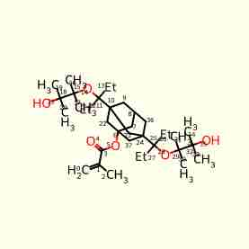 C=C(C)C(=O)OC12CC3CC(C(CC)(CC)OC(C)(C)C(C)(C)O)(C1)CC(C(CC)(CC)OC(C)(C)C(C)(C)O)(C3)C2